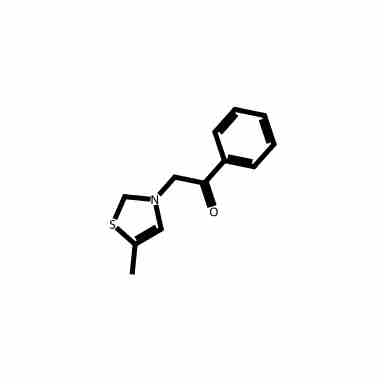 CC1=CN(CC(=O)c2ccccc2)CS1